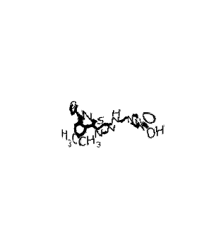 CC1(C)CCc2c(-c3ccoc3)nc3sc4c(NCCN5CCN(C(=O)O)CC5)ncnc4c3c2C1